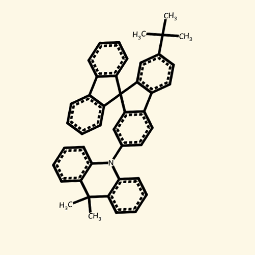 CC(C)(C)c1ccc2c(c1)C1(c3ccccc3-c3ccccc31)c1cc(N3c4ccccc4C(C)(C)c4ccccc43)ccc1-2